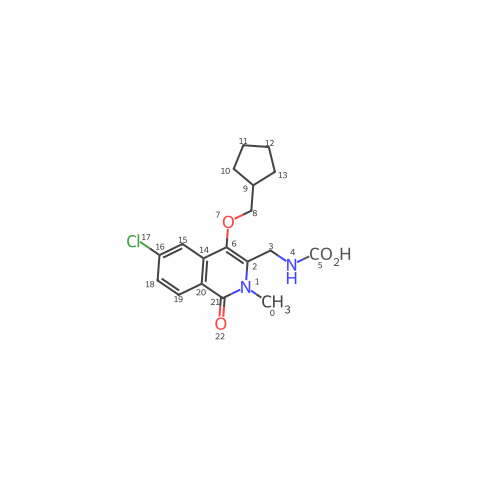 Cn1c(CNC(=O)O)c(OCC2CCCC2)c2cc(Cl)ccc2c1=O